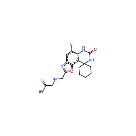 CC(C)C(=O)CNCc1nc2cc(Cl)c3c(c2o1)C1(CCCCC1)NC(=O)N3